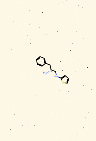 N[C@@H](CNc1cccs1)Cc1ccccc1